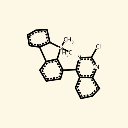 C[Si]1(C)c2ccccc2-c2cccc(-c3nc(Cl)nc4ccccc34)c21